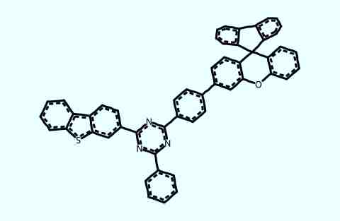 c1ccc(-c2nc(-c3ccc(-c4ccc5c(c4)Oc4ccccc4C54c5ccccc5-c5ccccc54)cc3)nc(-c3ccc4c(c3)sc3ccccc34)n2)cc1